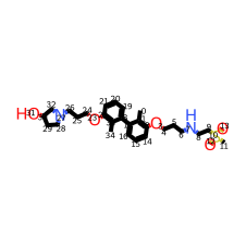 Cc1c(OCCCNCCS(C)(=O)=O)cccc1-c1cccc(OCCCN2CCC(O)C2)c1C